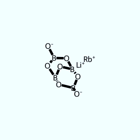 [Li+].[O-]B1OB2OB([O-])OB(O1)O2.[Rb+]